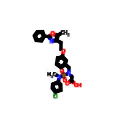 Cc1oc(-c2ccccc2)nc1CCOc1cccc(CN(CC(=O)O)S(=O)(=O)N(C)c2ccc(Cl)cc2)c1